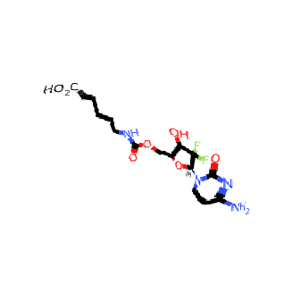 Nc1ccn([C@@H]2OC(COC(=O)NCCCCCC(=O)O)C(O)C2(F)F)c(=O)n1